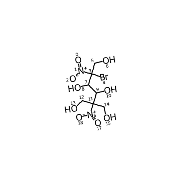 O=[N+]([O-])C(Br)(CO)C(O)C(O)C(CO)(CO)[N+](=O)[O-]